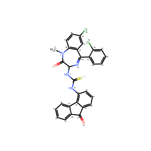 CN1C(=O)C(NC(=S)Nc2cccc3c2-c2ccccc2C3=O)N=C(c2ccccc2Cl)c2cc(Cl)ccc21